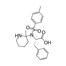 Cc1ccc(S(=O)(=O)N([C@@H](Cc2ccccc2)C(=O)O)C2(C)CCCCN2)cc1